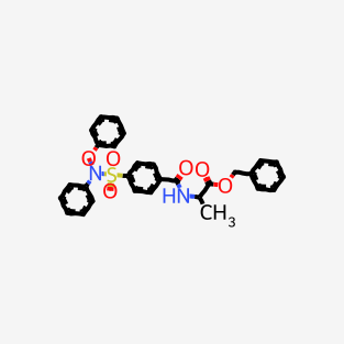 CC(NC(=O)c1ccc(S(=O)(=O)N(Oc2ccccc2)c2ccccc2)cc1)C(=O)OCc1ccccc1